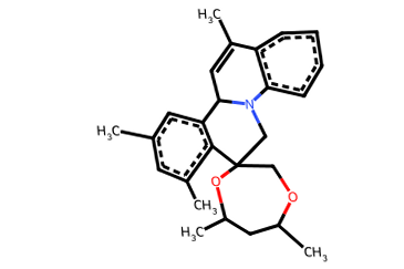 CC1=CC2c3cc(C)cc(C)c3C3(COC(C)CC(C)O3)CN2c2ccccc21